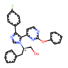 OC[C@@H](Cc1ccccc1)n1cnc(-c2ccc(F)cc2)c1-c1ccnc(Oc2ccccc2)n1